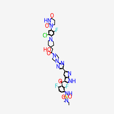 CCN(C)S(=O)(=O)Nc1ccc(F)c(C(=O)c2c[nH]c3ncc(-c4cnc(N5CCN(C(=O)CC6(O)CCN(c7cc(F)c(N8CCC(=O)NC8=O)cc7Cl)CC6)CC5)nc4)cc23)c1F